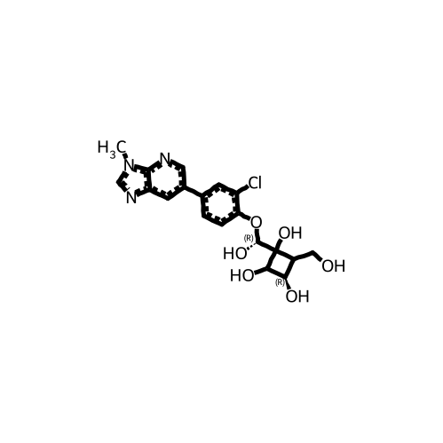 Cn1cnc2cc(-c3ccc(O[C@@H](O)C4(O)C(O)[C@H](O)C4CO)c(Cl)c3)cnc21